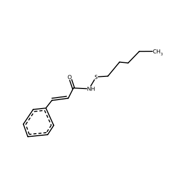 CCCCCSNC(=O)C=Cc1ccccc1